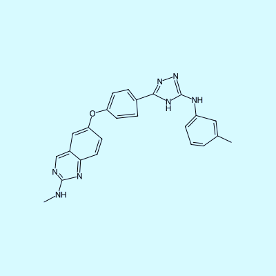 CNc1ncc2cc(Oc3ccc(-c4nnc(Nc5cccc(C)c5)[nH]4)cc3)ccc2n1